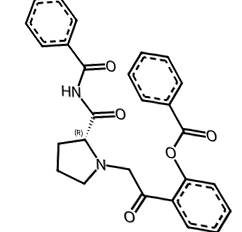 O=C(NC(=O)[C@H]1CCCN1CC(=O)c1ccccc1OC(=O)c1ccccc1)c1ccccc1